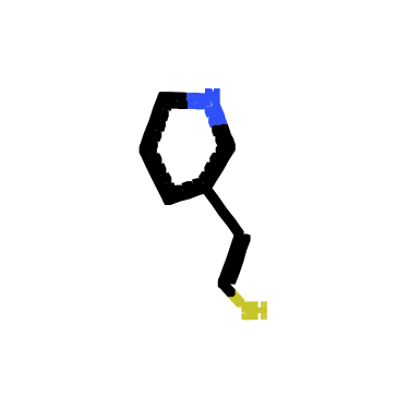 SC=Cc1cccnc1